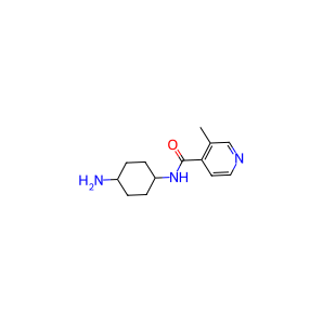 Cc1cnccc1C(=O)NC1CCC(N)CC1